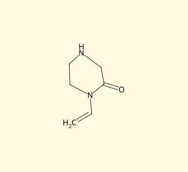 C=CN1CCNCC1=O